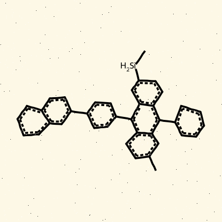 C[SiH2]c1ccc2c(-c3ccccc3)c3cc(C)ccc3c(-c3ccc(-c4ccc5ccccc5c4)cc3)c2c1